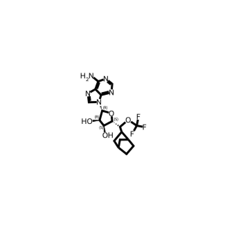 Nc1ncnc2c1ncn2[C@@H]1O[C@H](C(OC(F)(F)F)C2CC3CCC2C3)[C@@H](O)[C@H]1O